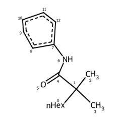 CCCCCCC(C)(C)C(=O)Nc1ccccc1